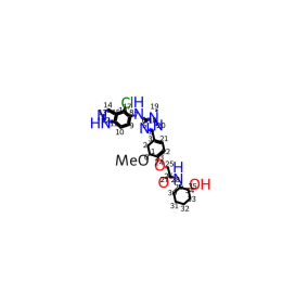 COC1CC(c2nc(Nc3ccc4[nH]ncc4c3Cl)n(C)n2)=CC=C1OCC(=O)NC1CCCCC1O